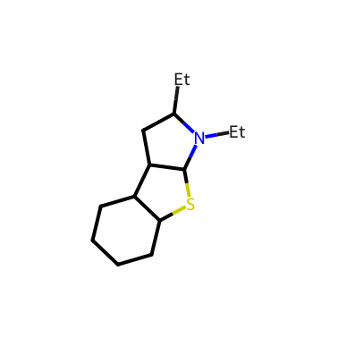 CCC1CC2C3CCCCC3SC2N1CC